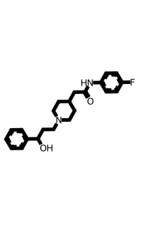 O=C(CC1CCN(CCC(O)c2ccccc2)CC1)Nc1ccc(F)cc1